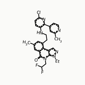 CCn1ncc2c3c(CCNc4ccc(Cl)nc4-c4ccnc(C)c4)cc(C)cc3c(=O)n(CC(F)F)c21